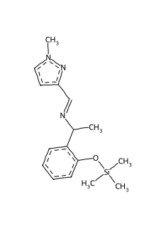 CC(N=Cc1ccn(C)n1)c1ccccc1O[Si](C)(C)C